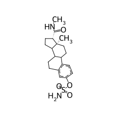 CNC(=O)[C@H]1CCC2C3CCc4cc(OS(N)(=O)=O)ccc4C3CC[C@@]21C